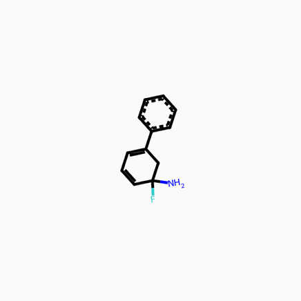 NC1(F)C=CC=C(c2ccccc2)C1